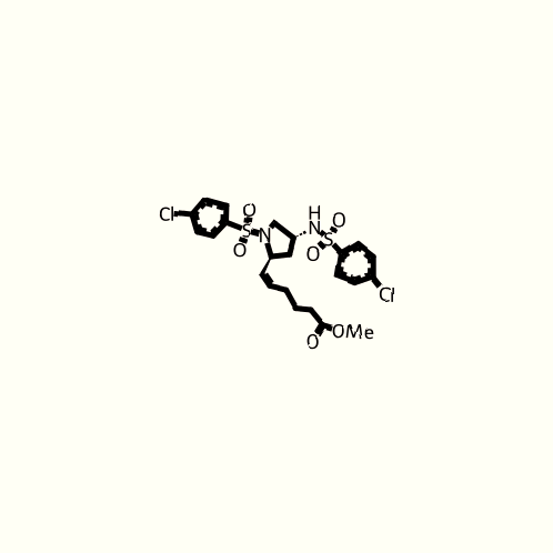 COC(=O)CCC/C=C\[C@@H]1C[C@@H](NS(=O)(=O)c2ccc(Cl)cc2)CN1S(=O)(=O)c1ccc(Cl)cc1